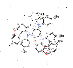 CC(C)(C)c1ccc2c(c1)B1c3ccc4oc5ccc(C(C)(C)C)cc5c4c3N(c3ccc(C(C)(C)C)cc3-c3ccccc3)c3cc(N4c5ccc(C(C)(C)C)cc5C5(C)CCCCC45C)cc(c31)N2c1cccc2oc3ccccc3c12